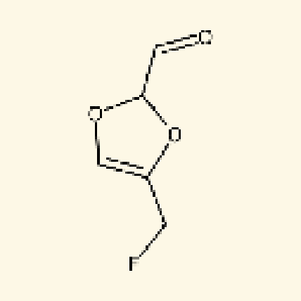 O=CC1OC=C(CF)O1